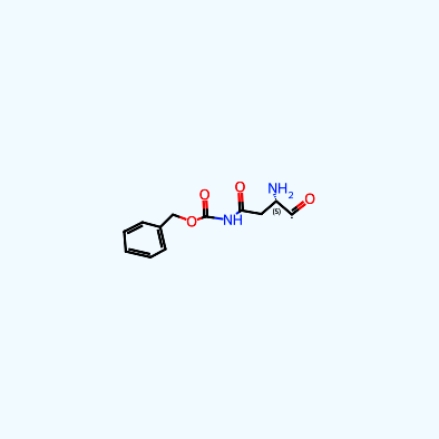 N[C@H]([C]=O)CC(=O)NC(=O)OCc1ccccc1